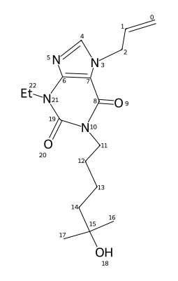 C=CCn1cnc2c1c(=O)n(CCCCC(C)(C)O)c(=O)n2CC